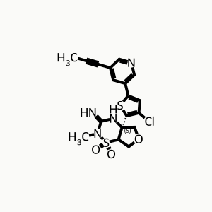 CC#Cc1cncc(-c2cc(Cl)c([C@]34COCC3S(=O)(=O)N(C)C(=N)N4)s2)c1